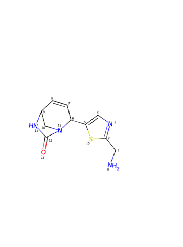 NCc1ncc(C2C=CC3CN2C(=O)N3)s1